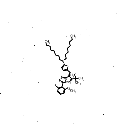 CCCCCCCCN(CCCCCCCC)c1ccc(/C=c2/c(C(C)(C)C)nn3c(-c4c(F)cccc4OC)nnc23)s1